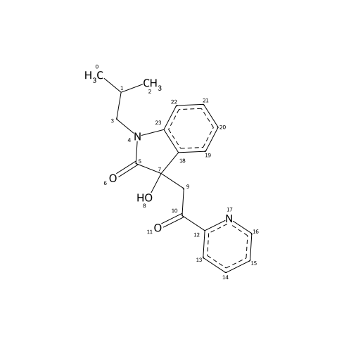 CC(C)CN1C(=O)C(O)(CC(=O)c2ccccn2)c2ccccc21